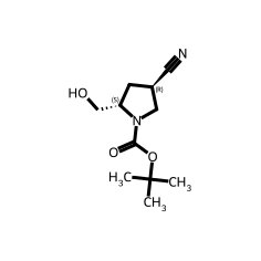 CC(C)(C)OC(=O)N1C[C@H](C#N)C[C@H]1CO